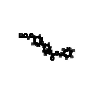 CCOC(=O)c1cnc(N2CC3CC2CN3C(=O)OCc2cccnc2)nc1